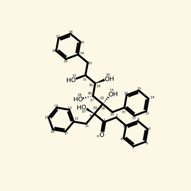 O=C(Cc1ccccc1)[C@](O)(Cc1ccccc1)[C@](O)(Cc1ccccc1)[C@H](O)[C@H](O)C(O)Cc1ccccc1